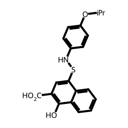 CC(C)Oc1ccc(NSc2cc(C(=O)O)c(O)c3ccccc23)cc1